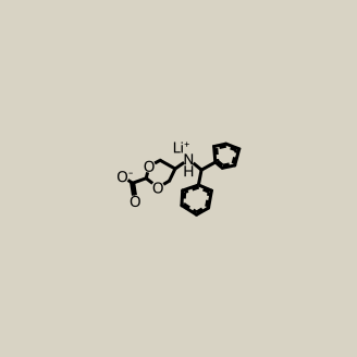 O=C([O-])C1OCC(NC(c2ccccc2)c2ccccc2)CO1.[Li+]